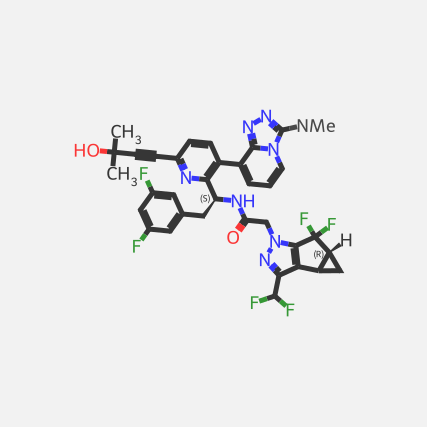 CNc1nnc2c(-c3ccc(C#CC(C)(C)O)nc3[C@H](Cc3cc(F)cc(F)c3)NC(=O)Cn3nc(C(F)F)c4c3C(F)(F)[C@@H]3CC43)cccn12